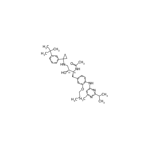 CCCOc1cc(C[C@H](NC(C)=O)[C@@H](O)CNC2(c3cccc(C(C)(C)C)c3)CC2)ccc1Nc1cc(C)nc(C(C)C)n1